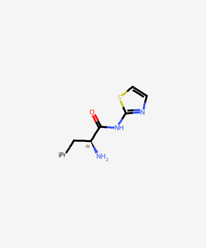 CC(C)C[C@H](N)C(=O)Nc1nccs1